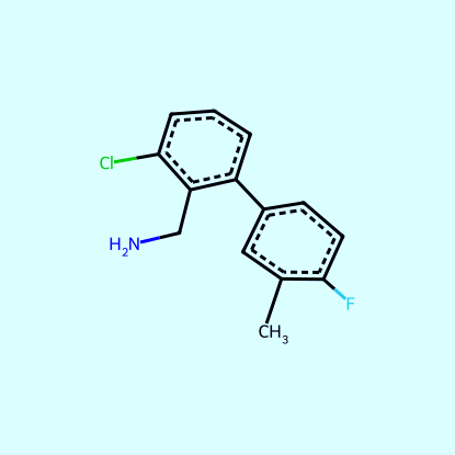 Cc1cc(-c2cccc(Cl)c2CN)ccc1F